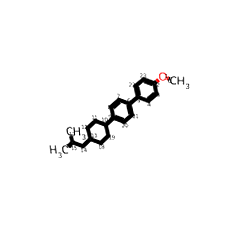 COc1ccc(-c2ccc(C3CCC(CC(C)C)CC3)cc2)cc1